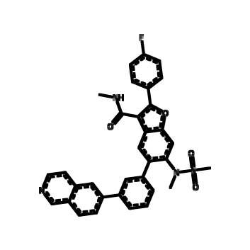 CNC(=O)c1c(-c2ccc(F)cc2)oc2cc(N(C)S(C)(=O)=O)c(-c3cccc(-c4ccc5cnccc5c4)c3)cc12